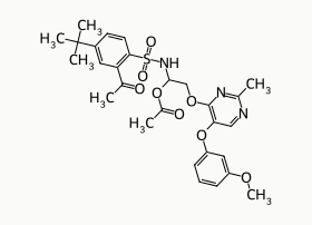 COc1cccc(Oc2cnc(C)nc2OCC(NS(=O)(=O)c2ccc(C(C)(C)C)cc2C(C)=O)OC(C)=O)c1